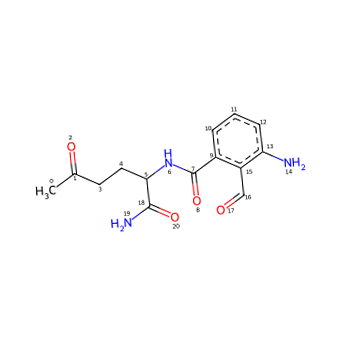 CC(=O)CCC(NC(=O)c1cccc(N)c1C=O)C(N)=O